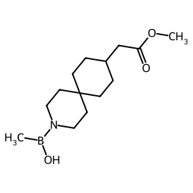 COC(=O)CC1CCC2(CC1)CCN(B(C)O)CC2